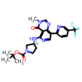 Cn1cnc2c(-c3ccc(C(F)(F)F)cn3)cnc(N[C@H]3CCN(C(=O)OC(C)(C)C)C3)c2c1=O